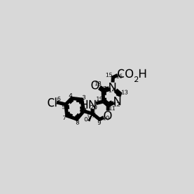 C[C@]1(c2ccc(Cl)cc2)COc2ncn(CC(=O)O)c(=O)c2N1